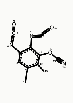 Cc1cc(N=C=O)c(N=C=O)c(OC#N)c1C